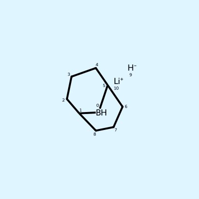 B1C2CCCC1CCC2.[H-].[Li+]